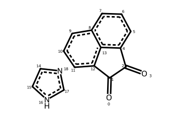 O=C1C(=O)c2cccc3cccc1c23.c1c[nH]cn1